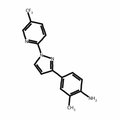 Cc1cc(-c2ccn(-c3ccc(C(F)(F)F)cn3)n2)ccc1N